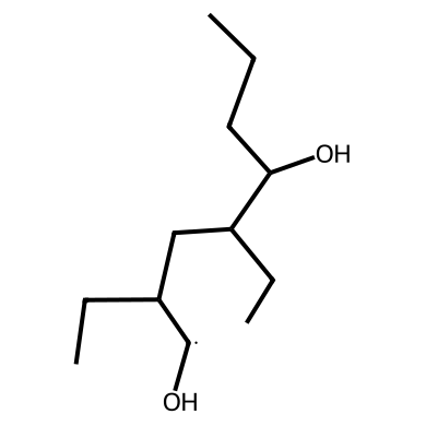 CCCC(O)C(CC)CC([CH]O)CC